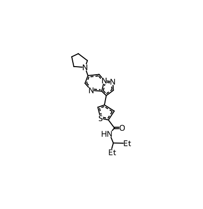 CCC(CC)NC(=O)c1cc(-c2cnn3cc(N4CCCC4)cnc23)cs1